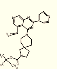 C=Cc1cncc2nc(-c3ccncc3)nc(N3CCC4(CCN(C(=O)OC(C)(C)C)C4)CC3)c12